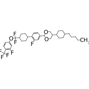 CCCCCC1CCC(C2COC(c3ccc(C4CCC(C(F)(F)Oc5ccc(C(F)(F)F)c(F)c5)CC4)c(F)c3)OC2)CC1